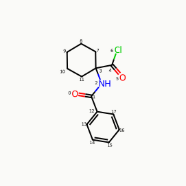 O=C(NC1(C(=O)Cl)CCCCC1)c1ccccc1